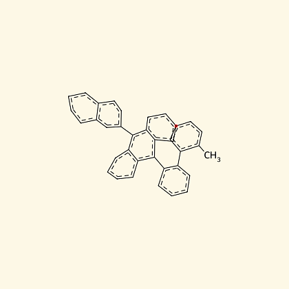 Cc1ccccc1-c1ccccc1-c1c2ccccc2c(-c2ccc3ccccc3c2)c2ccccc12